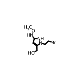 CONC1C=C(CO)N(CCBr)N1